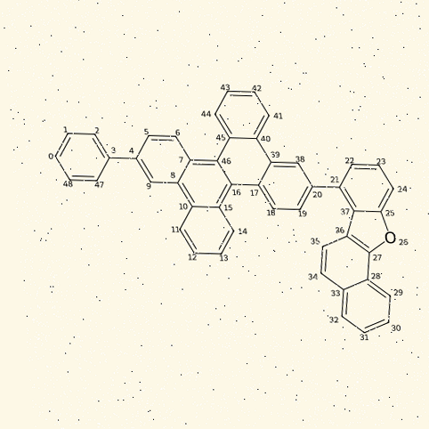 c1ccc(-c2ccc3c(c2)c2ccccc2c2c4ccc(-c5cccc6oc7c8ccccc8ccc7c56)cc4c4ccccc4c32)cc1